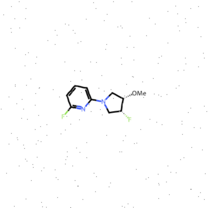 CO[C@H]1CN(c2cccc(F)n2)C[C@H]1F